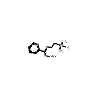 CONC(=NCC[Si](C)(C)C)c1cc[c]cn1